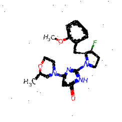 COc1ccccc1C[C@H]1[C@@H](F)CCN1c1nc(N2CCOC(C)C2)cc(=O)[nH]1